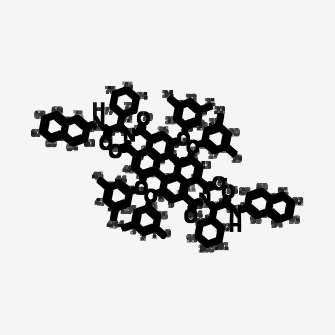 Cc1cc(C)cc(Oc2cc3c4c(cc(Oc5cc(C)cc(C)c5)c5c6c(Oc7cc(C)cc(C)c7)cc7c8c(cc(Oc9cc(C)cc(C)c9)c(c2c45)c86)C(=O)N(C(C(=O)Nc2ccc4ccccc4c2)C2CCCCC2)C7=O)C(=O)N(C(C(=O)Nc2ccc4ccccc4c2)C2CCCCC2)C3=O)c1